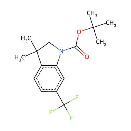 CC(C)(C)OC(=O)N1CC(C)(C)c2ccc(C(F)(F)F)cc21